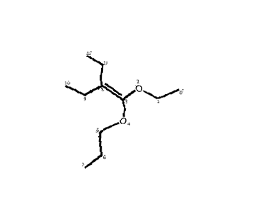 [CH2]COC(OCCC)=C(CC)CC